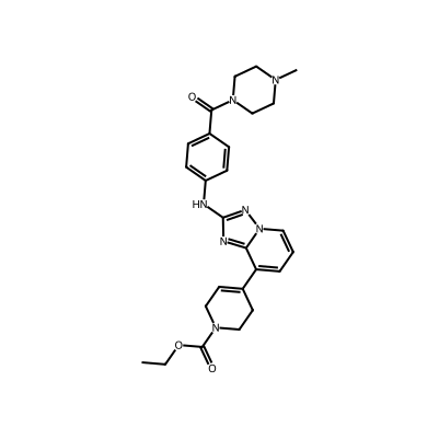 CCOC(=O)N1CC=C(c2cccn3nc(Nc4ccc(C(=O)N5CCN(C)CC5)cc4)nc23)CC1